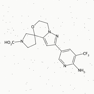 Nc1ncc(-c2cc3n(n2)CCOC32CCN(C(=O)O)C2)cc1C(F)(F)F